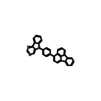 c1ccc2c(c1)-c1cccc3c(-c4ccc(-n5c6ccccc6c6ncncc65)cc4)ccc-2c13